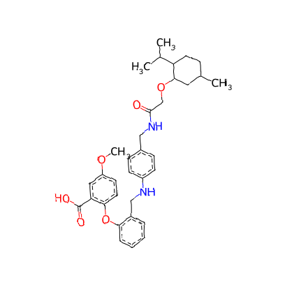 COc1ccc(Oc2ccccc2CNc2ccc(CNC(=O)COC3CC(C)CCC3C(C)C)cc2)c(C(=O)O)c1